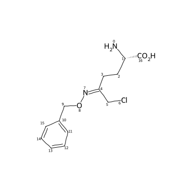 N[C@@H](CCC(CCl)=NOCc1ccccc1)C(=O)O